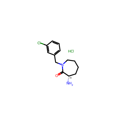 Cl.N[C@H]1CCCCN(Cc2cccc(Cl)c2)C1=O